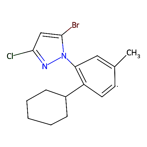 Cc1[c]cc(C2CCCCC2)c(-n2nc(Cl)cc2Br)c1